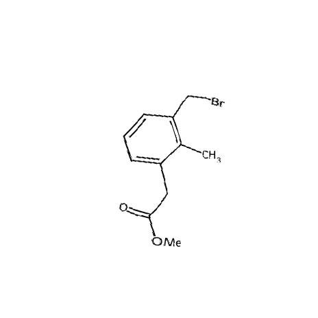 COC(=O)Cc1cccc(CBr)c1C